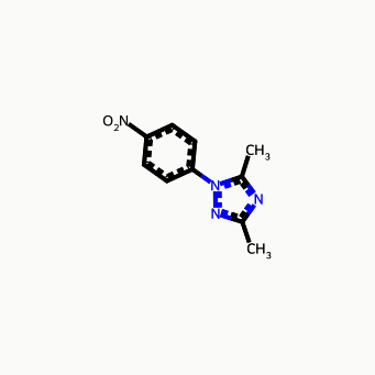 Cc1nc(C)n(-c2ccc([N+](=O)[O-])cc2)n1